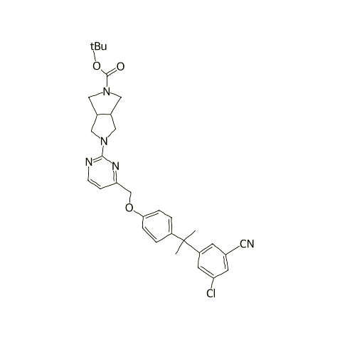 CC(C)(C)OC(=O)N1CC2CN(c3nccc(COc4ccc(C(C)(C)c5cc(Cl)cc(C#N)c5)cc4)n3)CC2C1